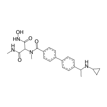 CNC(=O)C(C(=O)NO)N(C)C(=O)c1ccc(-c2ccc(C(C)NC3CC3)cc2)cc1